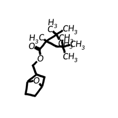 CC(C)(C)CC(C)(C(=O)OCC1CC2CCC1O2)C(C)(C)C